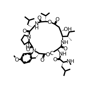 CC[C@H](C)[C@H]1NC(=O)[C@@H](NC(=O)[C@@H](CC(C)C)NC)COC(=O)[C@H](Cc2ccc(OC)cc2)N(C)C(=O)[C@@H]2CCCN2C(=O)[C@H](CC(C)C)NC(=O)[C@H](C(C)C)OC(=O)C[C@@H]1O